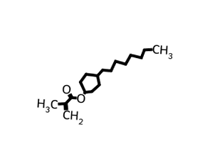 C=C(C)C(=O)OC1CCC(CCCCCCCC)CC1